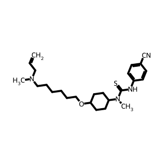 C=CCN(C)CCCCCCOC1CCC(N(C)C(=S)Nc2ccc(C#N)cc2)CC1